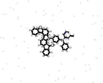 C=C/C=C(\C=C/C)N(c1ccccc1)c1ccc(-n2c3ccc4oc5ccccc5c4c3c3ccc4c(c32)C(=O)c2ccccc2-4)cc1